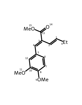 CC/C=C/C(=C\c1ccc(OC)c(OC)c1)C(=O)OC